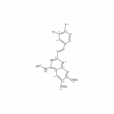 CCCNc1nc(C=Cc2ccc(F)c(F)c2)nc2cc(OC)c(OC)cc12